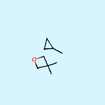 CC1(C)COC1.CC1CC1